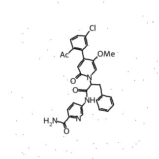 COc1cn(C(Cc2ccccc2)C(=O)Nc2ccc(C(N)=O)nc2)c(=O)cc1-c1cc(Cl)ccc1C(C)=O